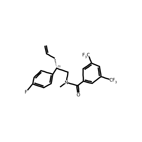 C=CC[C@H](CN(C)C(=O)c1cc(C(F)(F)F)cc(C(F)(F)F)c1)c1ccc(F)cc1